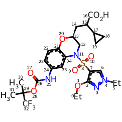 CCOc1nn(CC)cc1S(=O)(=O)N1C[C@H](CC(C(=O)O)C2CC2)Oc2ccc(NC(=O)OC(C)(C)C(F)(F)F)cc21